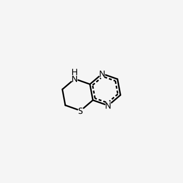 c1cnc2c(n1)NCCS2